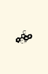 O=C1CC(c2ccccc2O)c2ccc3ccccc3c21